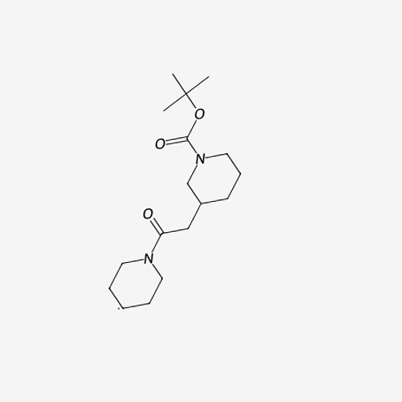 CC(C)(C)OC(=O)N1CCCC(CC(=O)N2CC[CH]CC2)C1